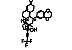 C[C@]12C[C@H](c3ccc4c(c3)OCCO4)C3=C4CCC(=O)C=C4CC[C@H]3[C@@H]1CC[C@@]2(O)C#CC(F)(F)F